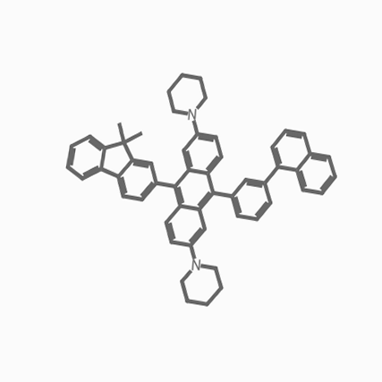 CC1(C)c2ccccc2-c2ccc(-c3c4ccc(N5CCCCC5)cc4c(-c4cccc(-c5cccc6ccccc56)c4)c4ccc(N5CCCCC5)cc34)cc21